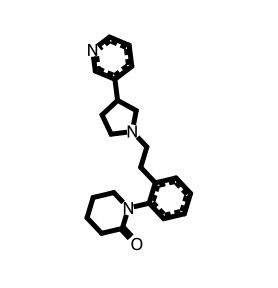 O=C1CCCCN1c1ccccc1CCN1CCC(c2cccnc2)C1